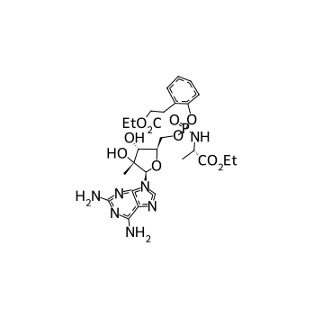 CCOC(=O)CCc1ccccc1OP(=O)(N[C@@H](C)C(=O)OCC)OC[C@H]1O[C@@H](n2cnc3c(N)nc(N)nc32)[C@](C)(O)[C@@H]1O